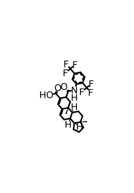 C[C@@]12CCC[C@H]1[C@@H]1CC=C3C=C(C(=O)O)C(C(=O)Nc4cc(C(F)(F)F)ccc4C(F)(F)F)C[C@]3(C)[C@H]1CC2